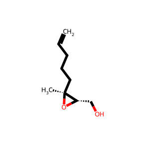 C=CCCC[C@]1(C)O[C@H]1CO